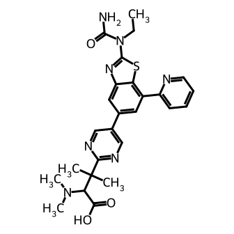 CCN(C(N)=O)c1nc2cc(-c3cnc(C(C)(C)C(C(=O)O)N(C)C)nc3)cc(-c3ccccn3)c2s1